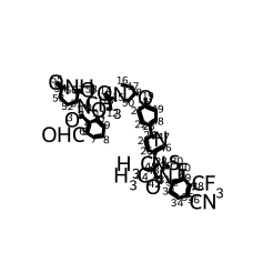 CN(C(=O)c1c(C=O)cccc1OCC(=O)N1CCC(Oc2ccc(-c3ccc(N4C(=S)N(c5ccc(C#N)c(C(F)(F)F)c5F)C(=O)C4(C)C)cn3)cc2)C1)C1CCC(=O)NC1=O